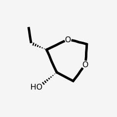 CC[C@@H]1OCOC[C@@H]1O